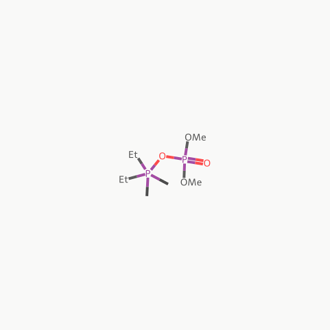 CCP(C)(C)(CC)OP(=O)(OC)OC